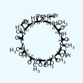 CC(C)C[C@@H]1C(=O)N(C)C(=O)N(C)C(=O)N(C)C(=O)NC(=O)N(C)CC(=O)N(C)[C@@H](CC(C)C)C(=O)NC(C(C)C)N(C)[C@H](CC(C)C)N[C@H](C)C(=O)NC(=O)N1C